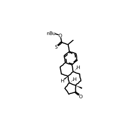 CCCCOC(=S)C(C)c1ccc2c(c1)CC[C@@H]1[C@@H]2CC[C@]2(C)C(=O)CC[C@@H]12